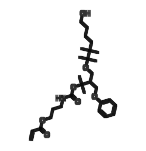 C=CC(=O)OCCCNC(=O)OC(C)(C)C(COc1ccccc1)COC(C)(C)C(C)(C)CCCCO